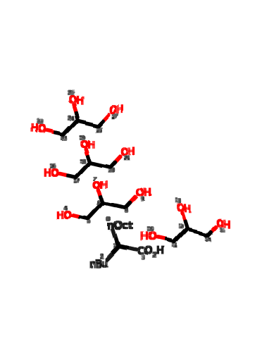 CCCCCCCCC(CCCC)C(=O)O.OCC(O)CO.OCC(O)CO.OCC(O)CO.OCC(O)CO